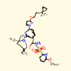 CCCCCOc1cccc(S(=O)(=O)NC(=O)c2ccc(-n3ccc(OCCC4(C(F)(F)F)CC4)n3)nc2N2CC(C)CC2(C)C)n1